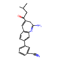 CC(C)CC(=O)C1=Cc2ccc(-c3cccc(C#N)c3)cc2N=C(N)C1